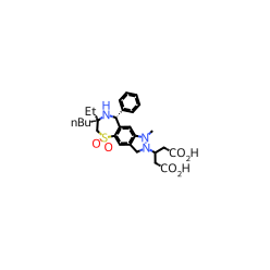 CCCC[C@]1(CC)CS(=O)(=O)c2cc3c(cc2[C@@H](c2ccccc2)N1)N(C)N(C(CC(=O)O)CC(=O)O)C3